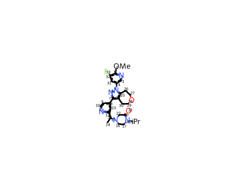 COc1ncc(-n2nc(-c3ccnc(C(C)N4CCN(C(C)C)C(=O)C4)c3)c3c2CCOCC3)cc1F